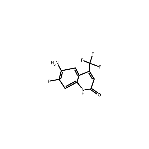 Nc1cc2c(C(F)(F)F)cc(=O)[nH]c2cc1F